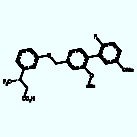 CCCCOc1cc(COc2cccc([C@H](CC(=O)O)C(F)(F)F)c2)ccc1-c1cc(OC)ccc1F